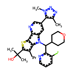 Cc1nnn(C)c1-c1cnc2c3sc(C(C)(C)O)c(C(C)C)c3n(C(c3ncccc3F)C3CCOCC3)c2c1